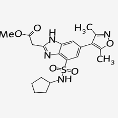 COC(=O)Cc1nc2c(S(=O)(=O)NC3CCCC3)cc(-c3c(C)noc3C)cc2[nH]1